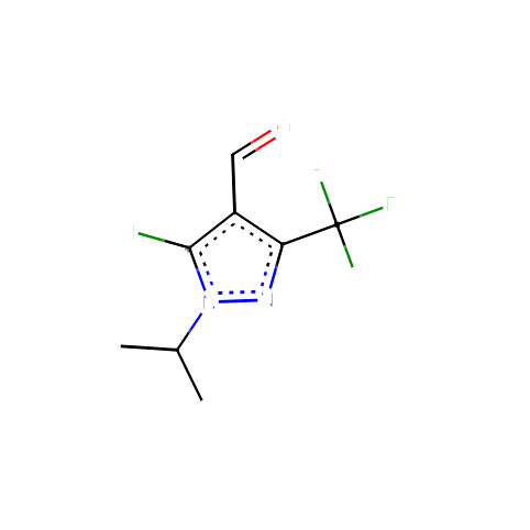 CC(C)n1nc(C(F)(F)F)c(C=O)c1Cl